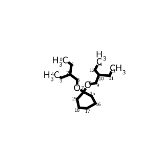 CCC(CC)COC1(OCC(CC)CC)CCCCC1